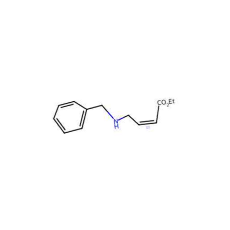 CCOC(=O)/C=C\CNCc1ccccc1